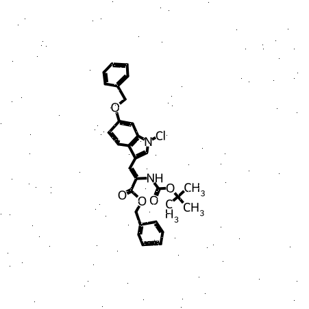 CC(C)(C)OC(=O)N/C(=C\c1cn(Cl)c2cc(OCc3ccccc3)ccc12)C(=O)OCc1ccccc1